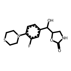 O=C1NCC(C(O)c2ccc(N3CCSCC3)c(F)c2)O1